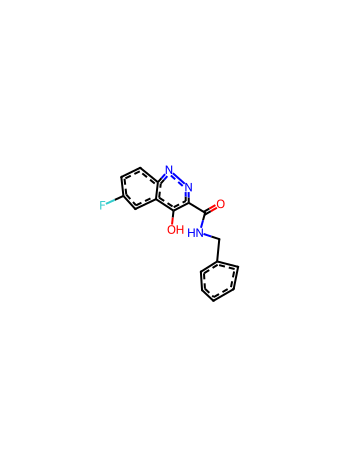 O=C(NCc1ccccc1)c1nnc2ccc(F)cc2c1O